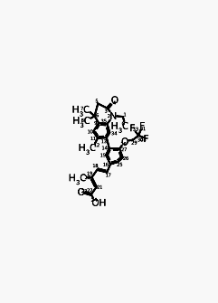 CCN1C(=O)CC(C)(C)c2cc(C)c(-c3cc(C=CC(C)=CC(=O)O)ccc3OCC(F)(F)F)cc21